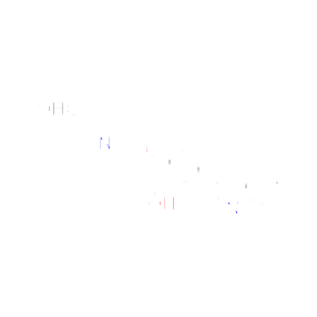 O=CCCN1CCC2(CC1)C[C@H](O)c1cc(-c3cnc4ccccc4c3)ccc1O2